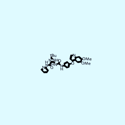 COc1cc2nccc(Oc3ccc(NC(=O)Nc4[nH]c(C(C)(C)C)nc4C(=O)Nc4ccccn4)cc3)c2cc1OC